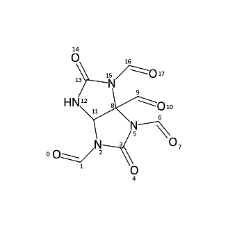 O=CN1C(=O)N(C=O)C2(C=O)C1NC(=O)N2C=O